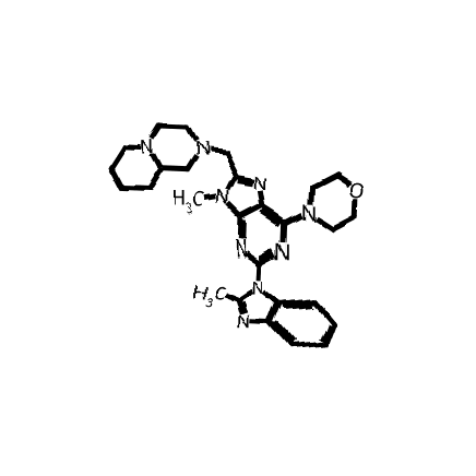 Cc1nc2ccccc2n1-c1nc(N2CCOCC2)c2nc(CN3CCN4CCCCC4C3)n(C)c2n1